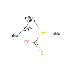 CCCC[S-](CCCC)C([O-])=S.CCC[CH2][Sn+2][CH2]CCC